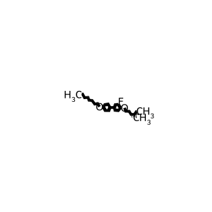 CCCCCCCCOc1ccc(-c2ccc(OCCC[C@@H](C)CC)c(F)c2)cc1